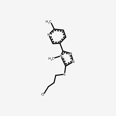 Cc1ccc(-c2nnc(SCCCCl)n2C)cn1